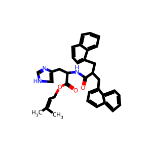 CC(C)=CCOC(=O)C(Cc1c[nH]cn1)NC(=O)C(Cc1cccc2ccccc12)Cc1cccc2ccccc12